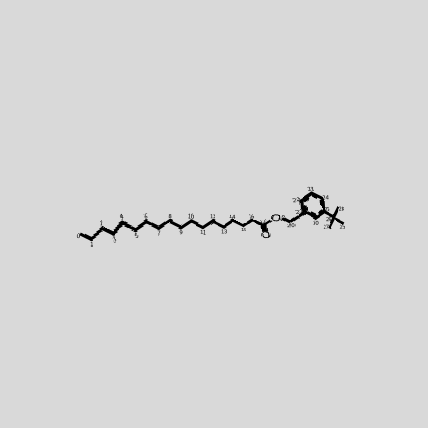 CCCCCCCCCCCCCCCCCC(=O)OCc1cccc(C(C)(C)C)c1